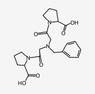 O=C(O)C1CCCN1C(=O)CN(CC(=O)N1CCCC1C(=O)O)Cc1ccccc1